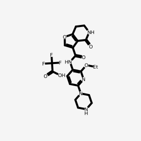 CCOc1nc(N2CCNCC2)ccc1NC(=O)c1coc2c1C(=O)NCC2.O=C(O)C(F)(F)F